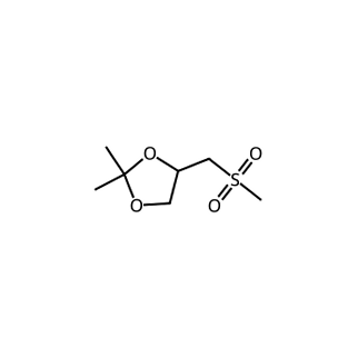 CC1(C)OCC(CS(C)(=O)=O)O1